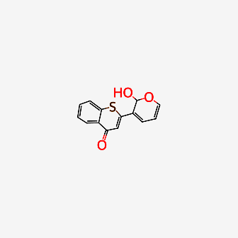 O=c1cc(C2=CC=COC2O)sc2ccccc12